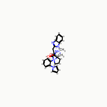 Cn1c(CCC(=O)[N+]2(c3ccccc3-n3cccc3)CCC[C@@]2(C)C(N)=O)nc2ccccc21